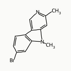 Cc1cc2c(cn1)c1ccc(Br)cc1n2C